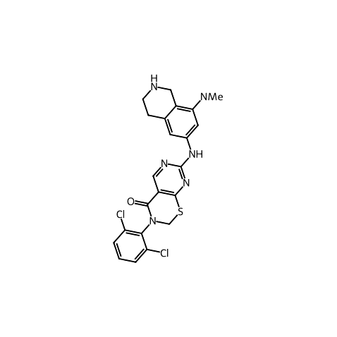 CNc1cc(Nc2ncc3c(n2)SCN(c2c(Cl)cccc2Cl)C3=O)cc2c1CNCC2